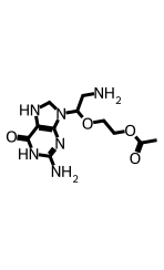 CC(=O)OCCOC(CN)N1CNc2c1nc(N)[nH]c2=O